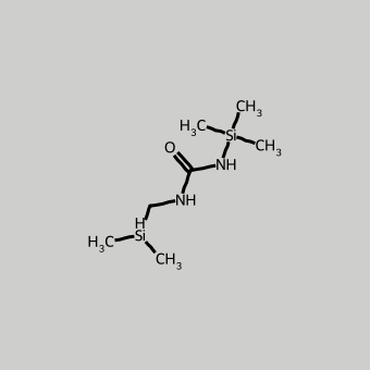 C[SiH](C)CNC(=O)N[Si](C)(C)C